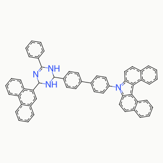 c1ccc(C2=NC(c3cc4ccccc4c4ccccc34)NC(c3ccc(-c4ccc(-n5c6ccc7ccccc7c6c6c7ccccc7ccc65)cc4)cc3)N2)cc1